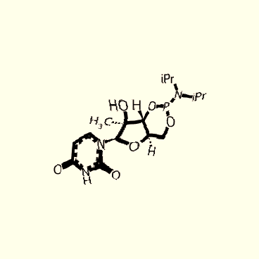 CC(C)N(C(C)C)P1OC[C@H]2O[C@@H](n3ccc(=O)[nH]c3=O)[C@@](C)(O)[C@@H]2O1